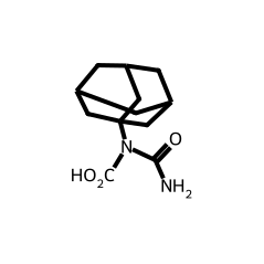 NC(=O)N(C(=O)O)C12CC3CC(CC(C3)C1)C2